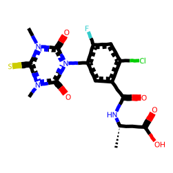 C[C@H](NC(=O)c1cc(-n2c(=O)n(C)c(=S)n(C)c2=O)c(F)cc1Cl)C(=O)O